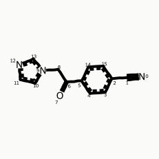 N#Cc1ccc(C(=O)Cn2ccnc2)cc1